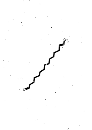 C/C=C/CCCCCCCCCCCCC=O